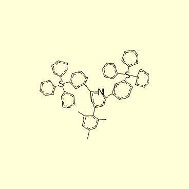 Cc1cc(C)c(-c2cc(-c3cccc(S(c4ccccc4)(c4ccccc4)c4ccccc4)c3)nc(-c3cccc(S(c4ccccc4)(c4ccccc4)c4ccccc4)c3)c2)c(C)c1